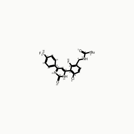 CC(C)(C)C(=O)NCc1ccc(Cl)c(-c2cc(-c3ccc(C(F)(F)F)cc3)nc(=O)[nH]2)c1F